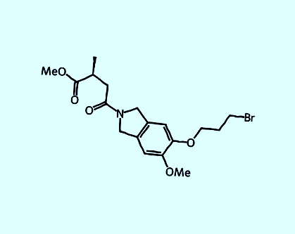 COC(=O)[C@@H](C)CC(=O)N1Cc2cc(OC)c(OCCCBr)cc2C1